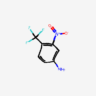 [NH]c1ccc(C(F)(F)F)c([N+](=O)[O-])c1